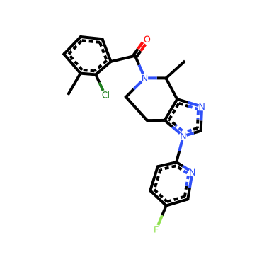 Cc1cccc(C(=O)N2CCc3c(ncn3-c3ccc(F)cn3)C2C)c1Cl